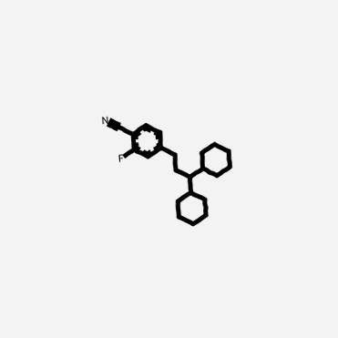 N#Cc1ccc(CCC(C2CCCCC2)C2CCCCC2)cc1F